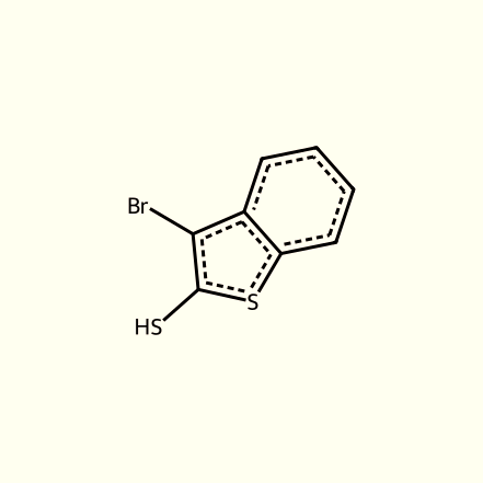 Sc1sc2ccccc2c1Br